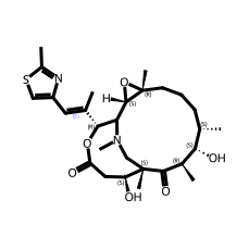 C/C(=C\c1csc(C)n1)[C@H]1OC(=O)C[C@H](O)[C@]2(C)CN(C)C1[C@@H]1O[C@]1(C)CCC[C@H](C)[C@H](O)[C@@H](C)C2=O